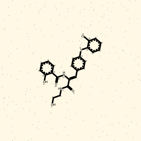 O=C(NCCO)C(=Cc1ccc(Sc2ccccc2Cl)cc1)NC(=O)c1ccccc1O